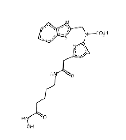 O=C(CCCCNC(=O)Cc1csc(N(Cc2nc3ccccc3s2)C(=O)O)n1)NO